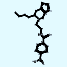 CCCCC1Cc2ccsc2CN1CCNC(=O)c1ccc([N+](=O)[O-])cc1